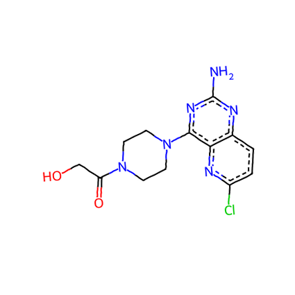 Nc1nc(N2CCN(C(=O)CO)CC2)c2nc(Cl)ccc2n1